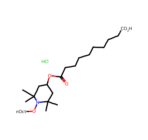 CCCCCCCCON1C(C)(C)CC(OC(=O)CCCCCCCCC(=O)O)CC1(C)C.Cl